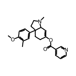 COc1ccc(C23CCC(OC(=O)c4cccnc4)=CC2N(C)CC3)cc1C